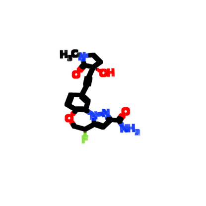 CN1CC[C@@](O)(C#Cc2ccc3c(c2)-n2nc(C(N)=O)cc2[C@H](F)CO3)C1=O